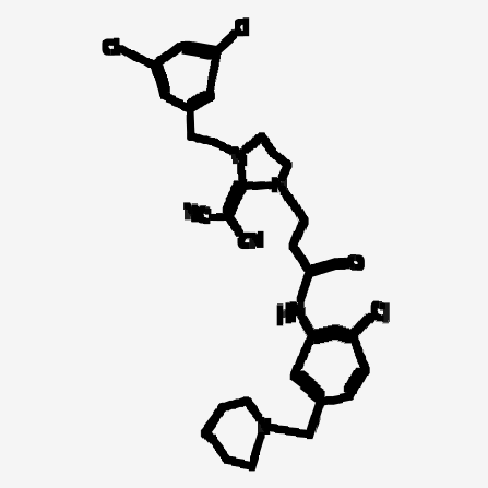 N#CC(C#N)=C1N(CCC(=O)Nc2cc(CN3CCCCC3)ccc2Cl)CCN1Cc1cc(Cl)cc(Cl)c1